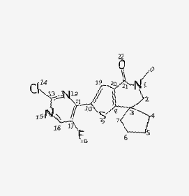 CN1CC2(CCCC2)c2sc(-c3nc(Cl)ncc3F)cc2C1=O